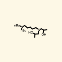 CCCCN(CCCC)CCCCCN(CC(C)O)CC(C)O